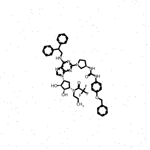 CCCN(C(=O)C(F)(F)F)[C@H]1C[C@@H](n2cnc3c(NCC(c4ccccc4)c4ccccc4)nc(N4CC[C@@H](NC(=O)Nc5ccc(OCc6ccccc6)cc5)C4)nc32)[C@H](O)[C@@H]1O